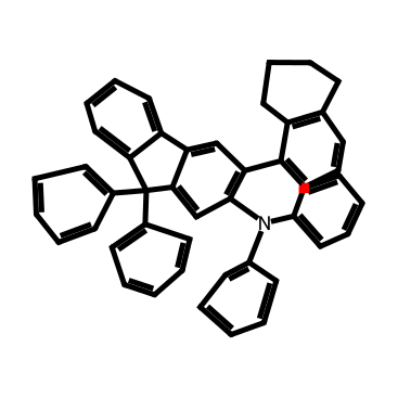 c1ccc(N(c2ccccc2)c2cc3c(cc2-c2cccc4c2CCCC4)-c2ccccc2C3(c2ccccc2)c2ccccc2)cc1